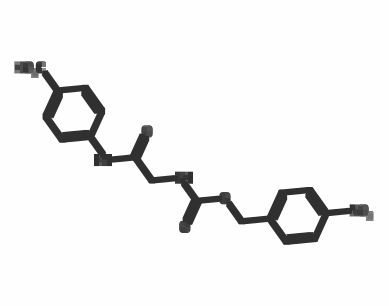 O=C(CNC(=O)OCc1ccc([N+](=O)[O-])cc1)Nc1ccc(C(=O)O)cc1